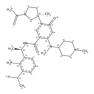 CC(=O)N1CC[C@@](C)(n2cc(C(=O)N[C@H](C)c3cccc(C(C)F)c3P)c(N(C)C3CCN(C)CC3)cc2=O)C1